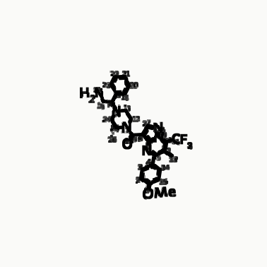 COc1ccc(-c2nc3c(C(=O)N4CCN([C@@H](CN)c5ccccc5)C[C@H]4C)cnn3c(C(F)(F)F)c2C)cc1